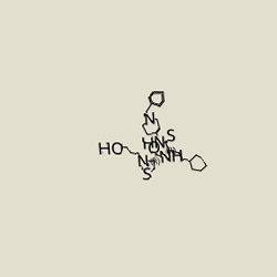 O=C(N[C@H](CCC1CCCCC1)C(=S)NC1CCN(Cc2ccccc2)CC1)[C@@H]1CSCN1CCCO